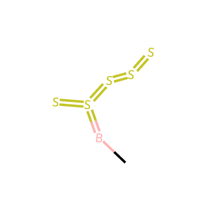 CB=S(=S)=S=S=S